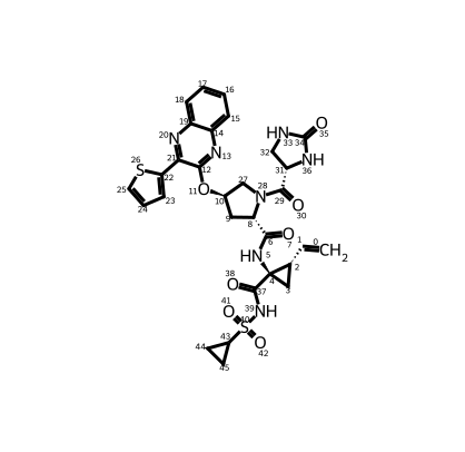 C=C[C@@H]1C[C@]1(NC(=O)[C@@H]1C[C@@H](Oc2nc3ccccc3nc2-c2cccs2)CN1C(=O)[C@@H]1CNC(=O)N1)C(=O)NS(=O)(=O)C1CC1